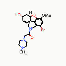 COc1cc(Br)c2c3c1O[C@@H]1C[C@H](O)C=C[C@]31CCN(C(=O)CN1CCN(C)CC1)C2